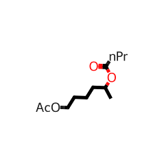 CCCC(=O)OC(C)CCCCOC(C)=O